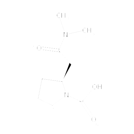 CN(C)C(=O)C[C@@H]1CCCN1C(=O)O